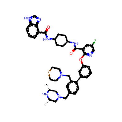 C[C@@H]1CN(Cc2ccc(-c3cccc(Oc4ncc(F)cc4C(=O)NC4CCC(NC(=O)c5cccc6[nH]cnc56)CC4)c3)c(CN3CCSCC3)c2)C[C@H](C)N1